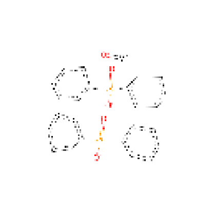 O=P([O-])(c1ccccc1)c1ccccc1.O=P([O-])(c1ccccc1)c1ccccc1.[O]=[V+2]